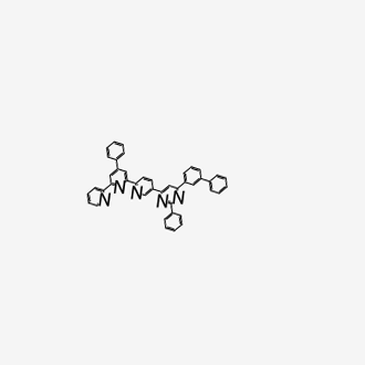 c1ccc(-c2cccc(-c3cc(-c4ccc(-c5cc(-c6ccccc6)cc(-c6ccccn6)n5)nc4)nc(-c4ccccc4)n3)c2)cc1